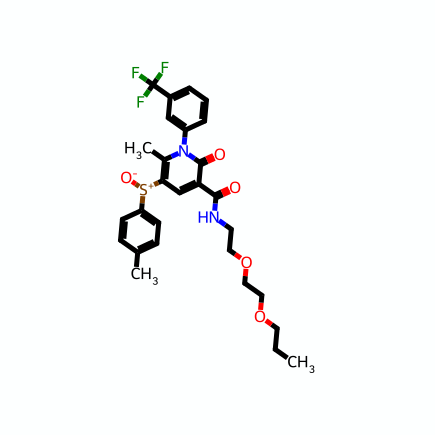 CCCOCCOCCNC(=O)c1cc([S+]([O-])c2ccc(C)cc2)c(C)n(-c2cccc(C(F)(F)F)c2)c1=O